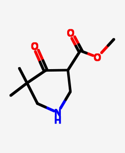 COC(=O)C1CNCC(C)(C)C1=O